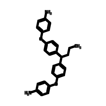 CCCC(c1ccc(Oc2ccc(N)cc2)cc1)c1ccc(Oc2ccc(N)cc2)cc1